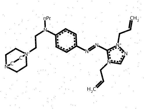 C=CCn1cn[n+](CC=C)c1/N=N/c1ccc(N(CCC)CC[N+]23CCN(CC2)CC3)cc1